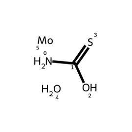 NC(O)=S.O.[Mo]